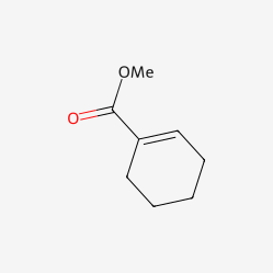 [CH2]OC(=O)C1=CCCCC1